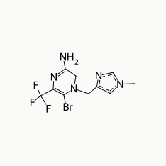 Cn1cnc(CN2CC(N)=NC(C(F)(F)F)=C2Br)c1